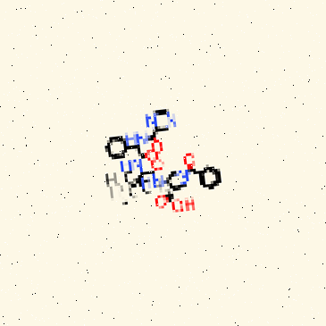 CC(C)(C)C(NC(=O)[C@@H](NC(=O)c1cnccn1)C1CCCCC1)C(=O)NC1CN(C(=O)c2ccccc2)C[C@H]1C(=O)O